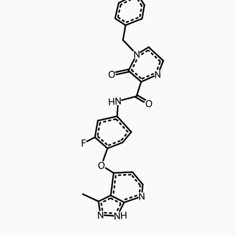 Cc1n[nH]c2nccc(Oc3ccc(NC(=O)c4nccn(Cc5ccccc5)c4=O)cc3F)c12